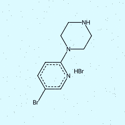 Br.Brc1ccc(N2CCNCC2)nc1